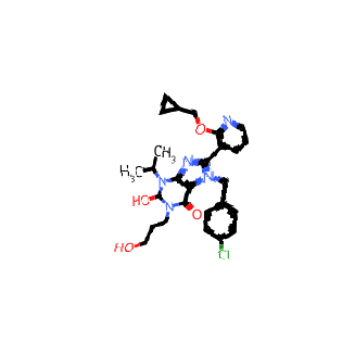 CC(C)N1c2nc(-c3cccnc3OCC3CC3)n(Cc3ccc(Cl)cc3)c2C(=O)N(CCCO)C1O